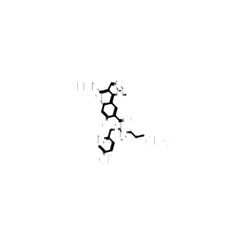 CN(CCCC=O)N(Cc1ccc(C(F)(F)F)cn1)C(=O)c1cc2c(cc1Cl)nc(N)c1cnn(C)c12